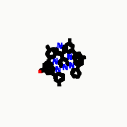 Cc1ccc2c(c1)c1cc(C)ccc1n2-c1nc(-n2c3ccccc3c3ccccc32)c(-n2c3ccc(C)cc3c3cc(C)ccc32)c(-c2ccncc2)c1-n1c2ccc(C)cc2c2cc(C)ccc21